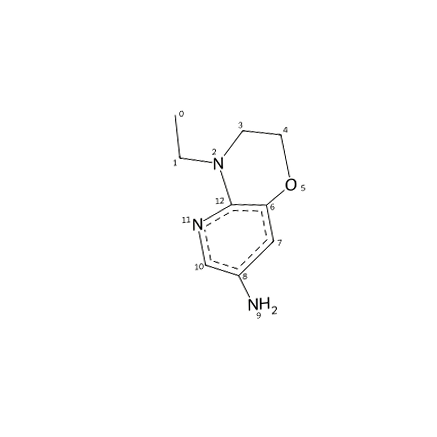 CCN1CCOc2cc(N)cnc21